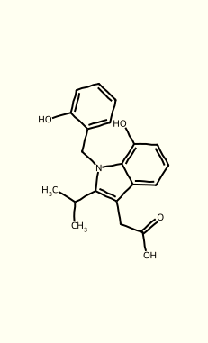 CC(C)c1c(CC(=O)O)c2cccc(O)c2n1Cc1ccccc1O